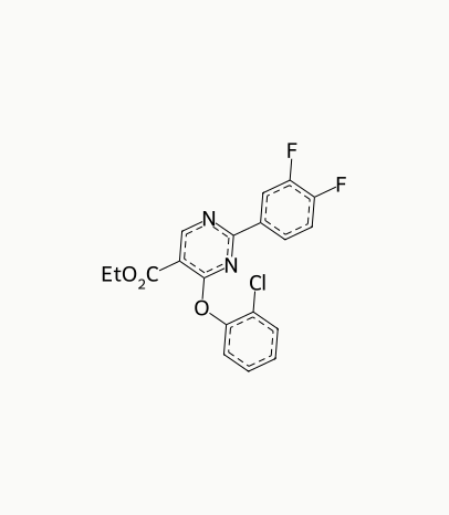 CCOC(=O)c1cnc(-c2ccc(F)c(F)c2)nc1Oc1ccccc1Cl